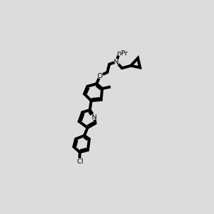 CCCN(CCOc1ccc(-c2ccc(-c3ccc(Cl)cc3)cn2)cc1C)CC1CC1